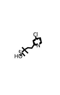 CC(C)(CCc1cc(Cl)ccn1)[Si](C)(C)O